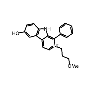 COCCC[n+]1ccc2c([nH]c3ccc(O)cc32)c1-c1ccccc1